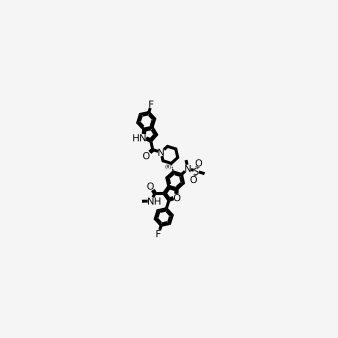 CNC(=O)c1c(-c2ccc(F)cc2)oc2cc(N(C)S(C)(=O)=O)c([C@H]3CCCN(C(=O)c4cc5cc(F)ccc5[nH]4)C3)cc12